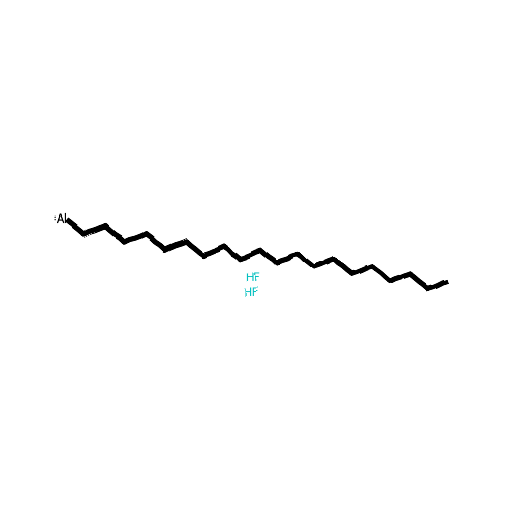 CCCCCCCCCCCCCCCCCCC[CH2][Al].F.F